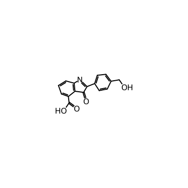 O=C(O)c1cccc2c1C(=O)C(c1ccc(CO)cc1)=N2